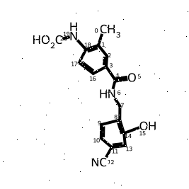 Cc1cc(C(=O)NCc2ccc(C#N)cc2O)ccc1NC(=O)O